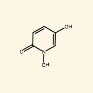 O=c1ccc(O)cn1O